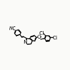 N#Cc1ccc(C=CC2=NCCc3cc(OCc4ccc(Cl)cc4Cl)ccc32)cc1